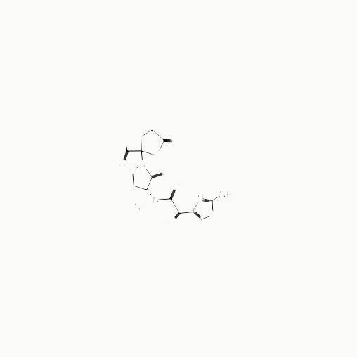 Nc1nc(C(=O)C(=O)N[C@H]2CON(C3(C(=O)[O-])CCC(=O)O3)C2=O)cs1.[Na+]